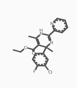 CCOC(=O)C1=C(C)NC(c2ccccn2)=NC1(C)c1ccc(F)c(Cl)c1